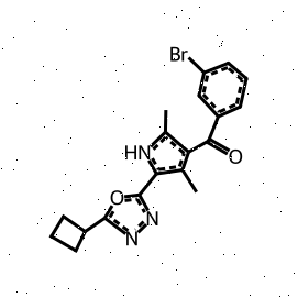 Cc1[nH]c(-c2nnc(C3CCC3)o2)c(C)c1C(=O)c1cccc(Br)c1